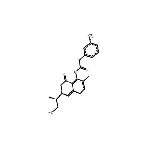 CC1=CCC2=CN([C@H](C)CO)CC(=O)C2=C1NC(=O)Cc1cccc(C(F)(F)F)c1